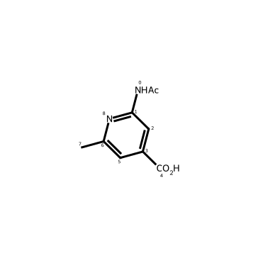 CC(=O)Nc1cc(C(=O)O)cc(C)n1